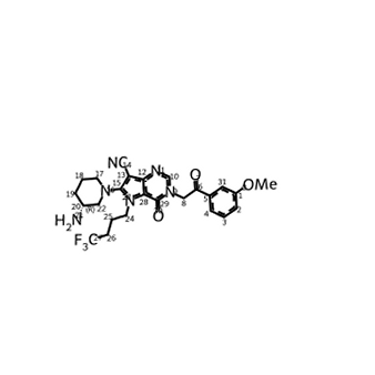 COc1cccc(C(=O)Cn2cnc3c(C#N)c(N4CCC[C@@H](N)C4)n(CCCC(F)(F)F)c3c2=O)c1